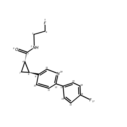 O=C(NCCF)[C@H]1C[C@@H]1c1ccc(-c2ccc(F)cc2)nc1